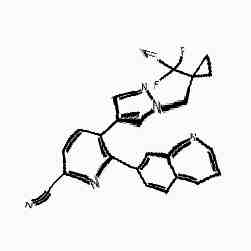 N#Cc1ccc(-c2cnn(CC3(C(F)(F)F)CC3)c2)c(-c2ccc3cccnc3c2)n1